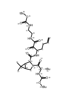 C=CCCC(NC(=O)[C@@H]1C2C(CN1C(=O)[C@@H](NC(=O)OC(C)(C)C)C(C)(C)C)C2(C)C)C(=O)C(=O)NCCNC(=O)OC(C)(C)C